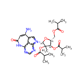 CC(C)C(=O)OC[C@H]1O[C@@H](n2cc3c4c(ncnc42)NC(=O)C=C3N)C(C)(OC(=O)C(C)C)[C@@H]1OC(=O)C(C)C